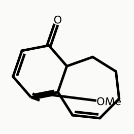 COC1C=CC=C2C=CC(=O)C3CCCC=CC213